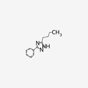 CCCCc1nc(-c2ccccc2)n[nH]1